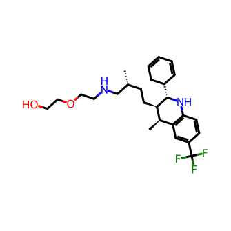 C[C@H](CC[C@@H]1[C@H](C)c2cc(C(F)(F)F)ccc2N[C@H]1C1C=CC=CC1)CNCCOCCO